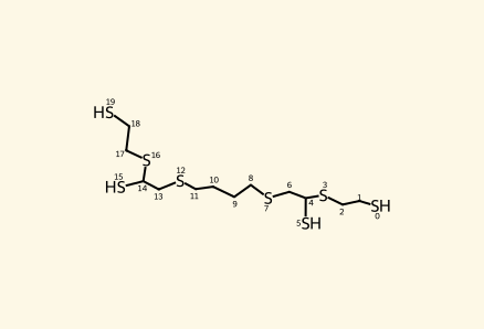 SCCSC(S)CSCCCCSCC(S)SCCS